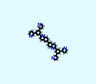 c1cncc(-c2cc(-c3cccnc3)cc(-c3ccc4cc(-c5ccc6nc(-c7cc(-c8cccnc8)cc(-c8cccnc8)c7)ccc6c5)ccc4n3)c2)c1